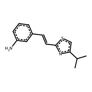 CC(C)c1csc(/C=C/c2cccc(N)c2)n1